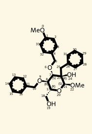 COc1ccc(CO[C@H]2[C@H](OCc3ccccc3)[C@@H](CO)O[C@H](OC)[C@@]2(O)Cc2ccccc2)cc1